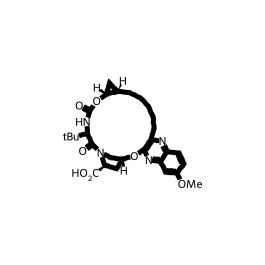 COc1ccc2nc3c(nc2c1)O[C@@H]1C[C@@H](C(=O)O)N(C1)C(=O)C(C(C)(C)C)NC(=O)O[C@@H]1C[C@H]1CCCCC3